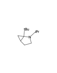 CC(C)N1CCC2CC21C(C)(C)C